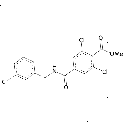 COC(=O)c1c(Cl)cc(C(=O)NCc2cccc(Cl)c2)cc1Cl